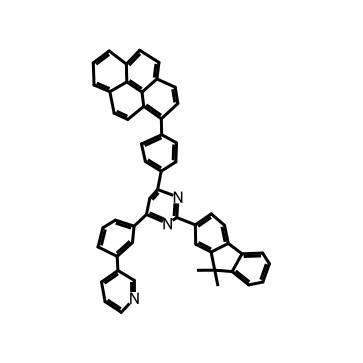 CC1(C)c2ccccc2-c2ccc(-c3nc(-c4ccc(-c5ccc6ccc7cccc8ccc5c6c78)cc4)cc(-c4cccc(-c5cccnc5)c4)n3)cc21